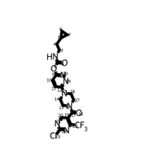 O=C(NCCC1CC1)Oc1ccc(N2CCN(C(=O)c3cnc(Cl)nc3C(F)(F)F)CC2)nn1